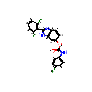 O=C(Nc1ccc(F)cc1)Oc1ccc2nc(-c3c(Cl)cccc3Cl)[nH]c2c1